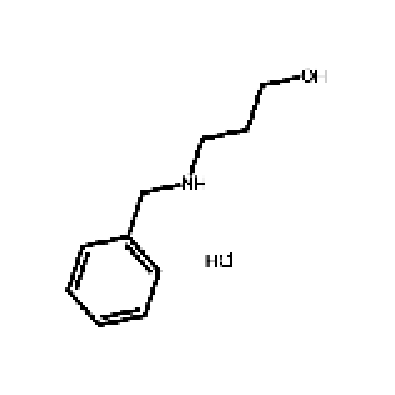 Cl.OCCCNCc1ccccc1